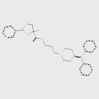 O=C(O)C1(C(=O)NCCCN2CCC(=C(c3ccccc3)c3ccccc3)CC2)CSC(c2cccnc2)N1